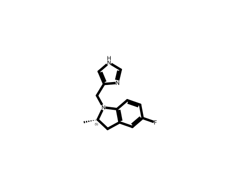 C[C@H]1Cc2cc(F)ccc2N1Cc1c[nH]cn1